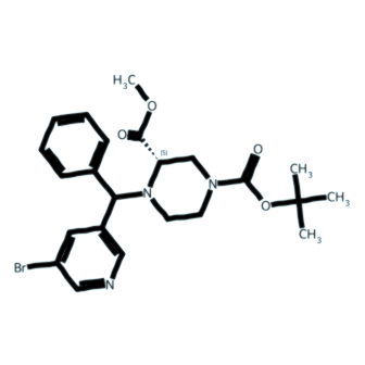 COC(=O)[C@@H]1CN(C(=O)OC(C)(C)C)CCN1C(c1ccccc1)c1cncc(Br)c1